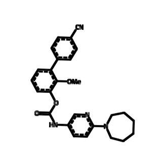 COc1c(OC(=O)Nc2ccc(N3CCCCCC3)nc2)cccc1-c1ccc(C#N)cc1